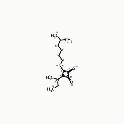 CCN(C)c1c(NCCCCC(C)C)c(=S)c1=O